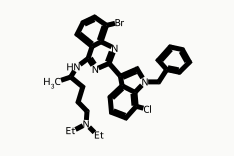 CCN(CC)CCCC(C)Nc1nc(-c2cn(Cc3ccccc3)c3c(Cl)cccc23)nc2c(Br)cccc12